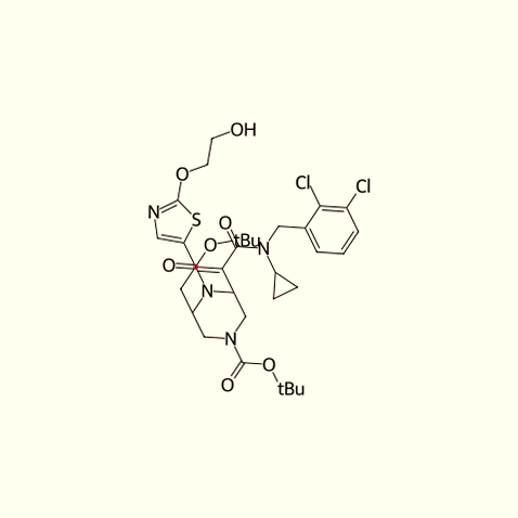 CC(C)(C)OC(=O)N1CC2CC(c3cnc(OCCO)s3)=C(C(=O)N(Cc3cccc(Cl)c3Cl)C3CC3)C(C1)N2C(=O)OC(C)(C)C